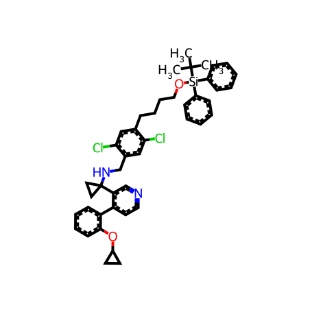 CC(C)(C)[Si](OCCCCc1cc(Cl)c(CNC2(c3cnccc3-c3ccccc3OC3CC3)CC2)cc1Cl)(c1ccccc1)c1ccccc1